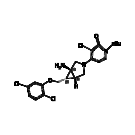 CCCCn1ccc(N2C[C@@H]3[C@H](COc4cc(Cl)ccc4Cl)[C@]3(N)C2)c(Cl)c1=O